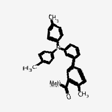 CNC(=O)c1cc(-c2cccc(N(c3ccc(C)cc3)c3ccc(C)cc3)c2)ccc1C